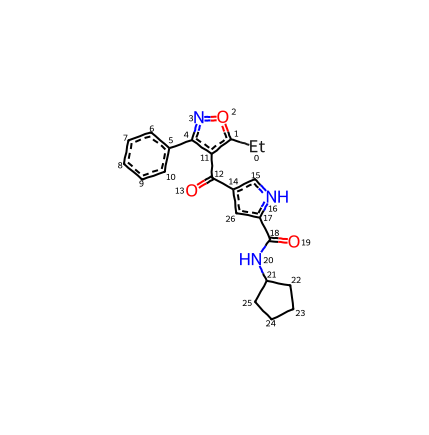 CCc1onc(-c2ccccc2)c1C(=O)c1c[nH]c(C(=O)NC2CCCC2)c1